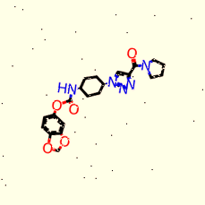 O=C(N[C@H]1CC[C@@H](n2cc(C(=O)N3CCCC3)nn2)CC1)Oc1ccc2c(c1)OCO2